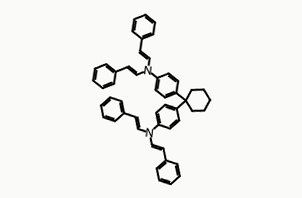 C(=CN(C=Cc1ccccc1)c1ccc(C2(c3ccc(N(C=Cc4ccccc4)C=Cc4ccccc4)cc3)CCCCC2)cc1)c1ccccc1